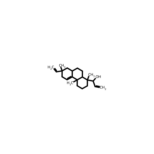 C=CC(O)C1(C)CCCC2(C)C3=CCC(C)(C=C)CC3CCC21